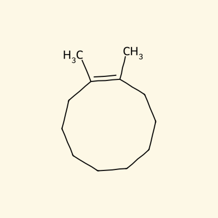 C/C1=C(\C)CCCCCCCC1